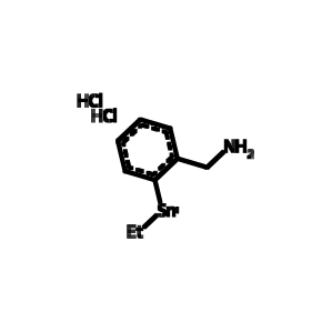 C[CH2][Sn][c]1ccccc1CN.Cl.Cl